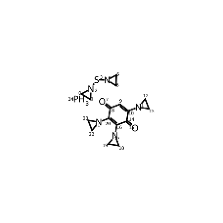 C1CN1SN1CC1.O=C1C=C(N2CC2)C(=O)C(N2CC2)=C1N1CC1.P